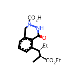 CCOC(=O)[C@@H](C)[C@@H](CC)c1cccc2c1C(=O)NN(C(=O)O)C2